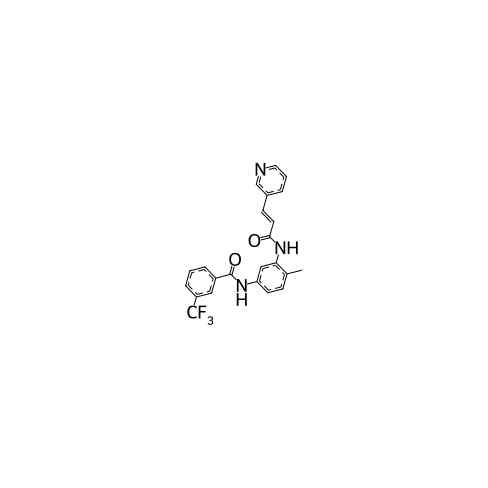 Cc1ccc(NC(=O)c2cccc(C(F)(F)F)c2)cc1NC(=O)C=Cc1cccnc1